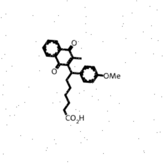 COc1ccc(C(CCCCCC(=O)O)C2=C(C)C(=O)c3ccccc3C2=O)cc1